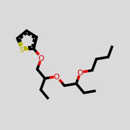 CCCCOC(CC)COC(CC)COc1cccs1